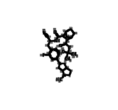 CN1CCC2CN(c3ccc(C[C@@H](C#N)NC(=O)C4C5CCC(C5)N4C(=O)OC(C)(C)C)c(F)c3)CC21